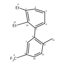 CCc1cccc(-c2cc(C(F)(F)F)ccc2C)c1CC